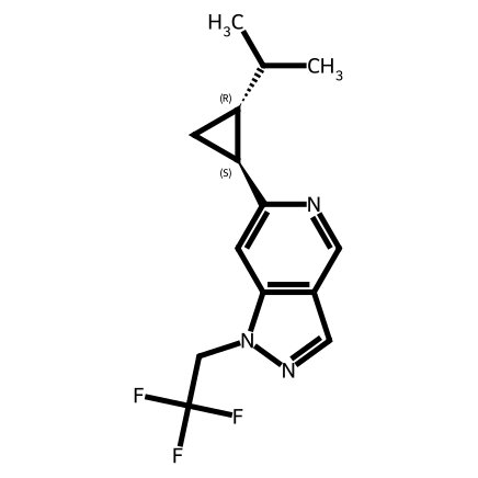 CC(C)[C@H]1C[C@@H]1c1cc2c(cn1)cnn2CC(F)(F)F